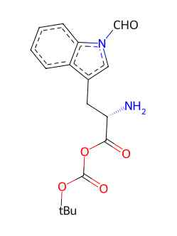 CC(C)(C)OC(=O)OC(=O)[C@@H](N)Cc1cn(C=O)c2ccccc12